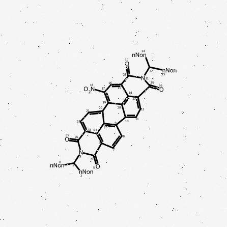 CCCCCCCCCC(CCCCCCCCC)N1C(=O)c2ccc3c4ccc5c6c(cc([N+](=O)[O-])c(c7ccc(c2c37)C1=O)c64)C(=O)N(C(CCCCCCCCC)CCCCCCCCC)C5=O